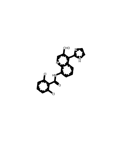 O=Cc1cnc2c(NC(=O)c3c(Cl)cccc3Cl)cccc2c1-c1ncc[nH]1